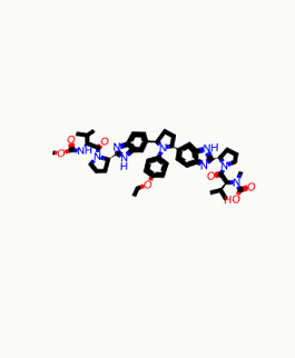 CCOc1ccc(N2[C@@H](c3ccc4nc([C@@H]5CCCN5C(=O)[C@@H](NC(=O)OC)C(C)C)[nH]c4c3)CC[C@@H]2c2ccc3nc([C@@H]4CCCN4C(=O)[C@H](C(C)C)N(C)C(=O)O)[nH]c3c2)cc1